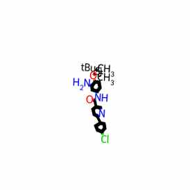 CC(C)(C)[Si](C)(C)Oc1ccc(NC(=O)c2ccc(-c3ccc(Cl)cc3)nc2)cc1N